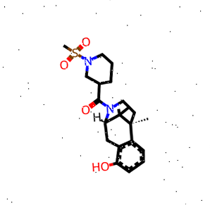 CC1(C)[C@H]2Cc3c(O)cccc3[C@]1(C)CCN2C(=O)C1CCCN(S(C)(=O)=O)C1